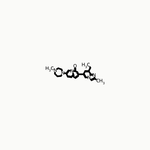 CCc1cc(C2=C\C(=O)N3C=C(N4CCCN(C)CC4)C=C\C3=C/C=C/2)cn2cc(C)nc12